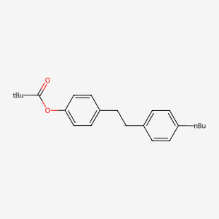 CCCCc1ccc([CH]Cc2ccc(OC(=O)C(C)(C)C)cc2)cc1